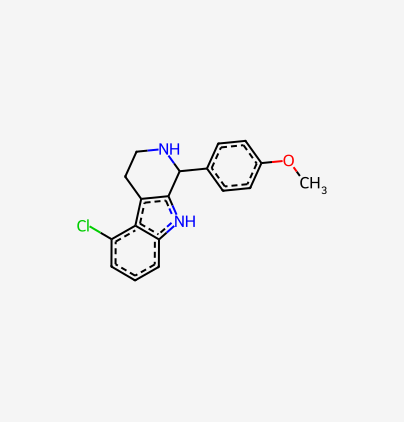 COc1ccc(C2NCCc3c2[nH]c2cccc(Cl)c32)cc1